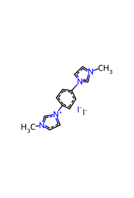 Cn1cc[n+](-c2ccc(-[n+]3ccn(C)c3)cc2)c1.[I-].[I-]